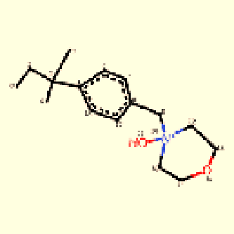 CCC(C)(C)c1ccc(C[N+]2(O)CCOCC2)cc1